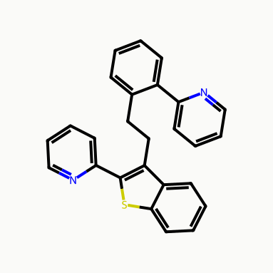 c1ccc(-c2ccccc2CCc2c(-c3ccccn3)sc3ccccc23)nc1